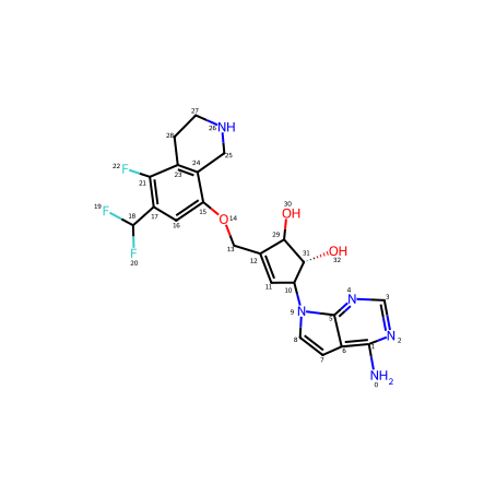 Nc1ncnc2c1ccn2C1C=C(COc2cc(C(F)F)c(F)c3c2CNCC3)C(O)[C@@H]1O